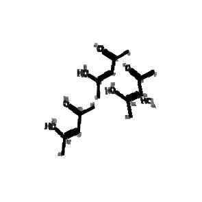 CC(=O)/C=C(/C)O.CC(=O)/C=C(/C)O.CC(=O)/C=C(/C)O.Cl